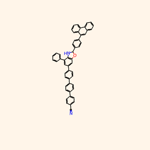 N#Cc1ccc(-c2ccc(-c3ccc(-c4cc5c(c(-c6ccccc6)c4)NC(c4ccc(-c6cc7ccccc7c7ccccc67)cc4)O5)cc3)cc2)cc1